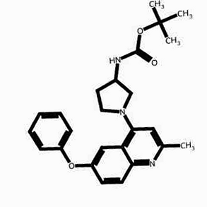 Cc1cc(N2CCC(NC(=O)OC(C)(C)C)C2)c2cc(Oc3ccccc3)ccc2n1